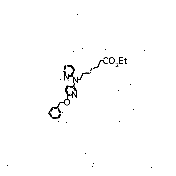 CCOC(=O)CCCCCCN(c1ccc(OCc2ccccc2)nc1)c1ccccn1